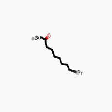 CCCCC(=O)CCCCCCCC(C)C